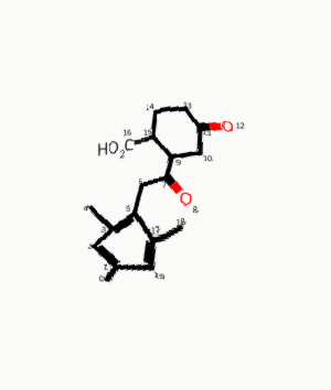 Cc1cc(C)c(CC(=O)C2CC(=O)CCC2C(=O)O)c(C)c1